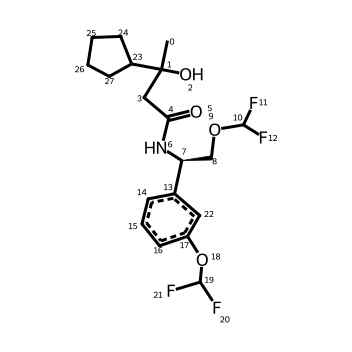 CC(O)(CC(=O)N[C@@H](COC(F)F)c1cccc(OC(F)F)c1)C1CCCC1